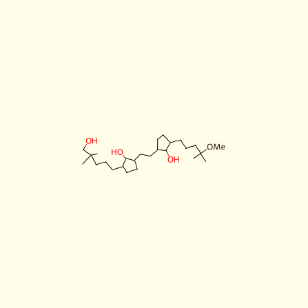 COC(C)(C)CCCC1CCC(CCC2CCC(CCCC(C)(C)CO)C2O)C1O